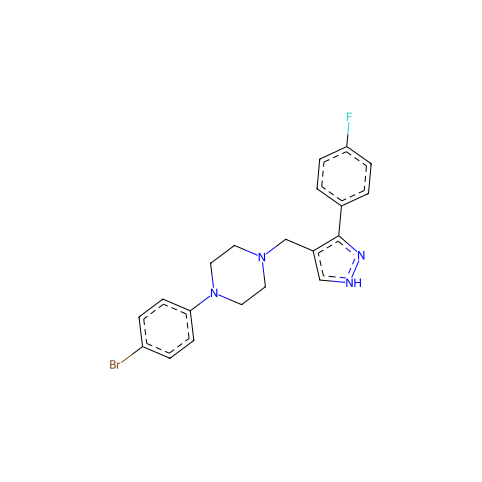 Fc1ccc(-c2n[nH]cc2CN2CCN(c3ccc(Br)cc3)CC2)cc1